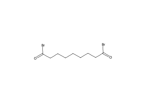 O=C(Br)CCCCCCCC(=O)Br